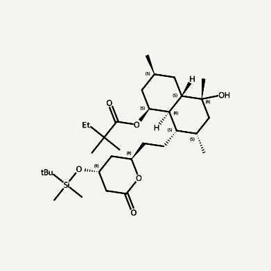 CCC(C)(C)C(=O)O[C@H]1C[C@@H](C)C[C@H]2[C@H]1[C@@H](CC[C@@H]1C[C@@H](O[Si](C)(C)C(C)(C)C)CC(=O)O1)[C@@H](C)C[C@@]2(C)O